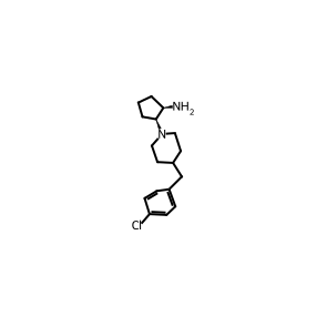 N[C@@H]1CCC[C@@H]1N1CCC(Cc2ccc(Cl)cc2)CC1